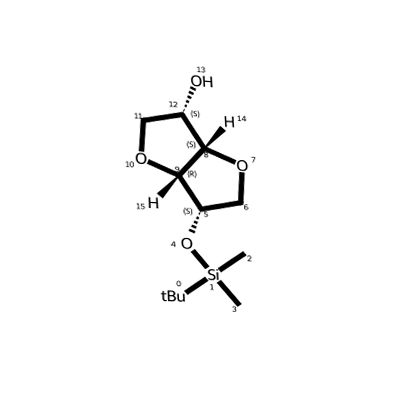 CC(C)(C)[Si](C)(C)O[C@H]1CO[C@@H]2[C@H]1OC[C@@H]2O